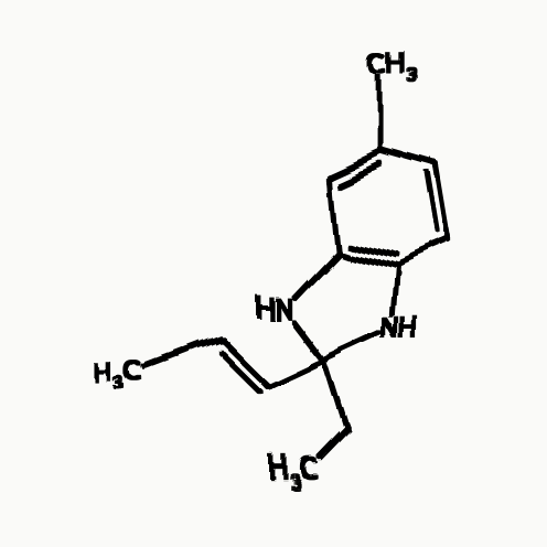 CC=CC1(CC)Nc2ccc(C)cc2N1